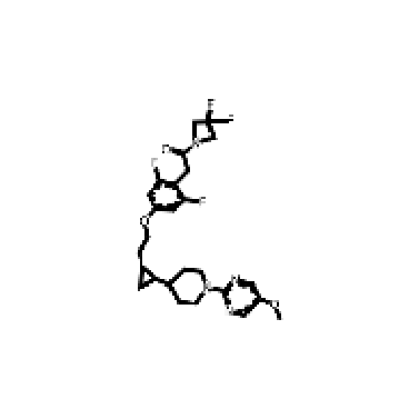 COc1cnc(N2CCC(C3C[C@H]3CCOc3cc(F)c(CC(=O)N4CC(F)(F)C4)c(F)c3)CC2)nc1